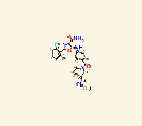 NC(=O)c1nc(-c2c(F)cccc2F)oc1Nc1ccc(C(=O)N2CCOC(CNC(=O)O)C2)cc1